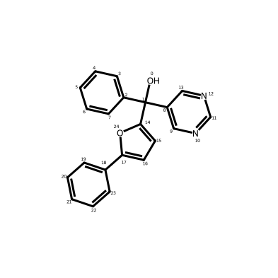 OC(c1ccccc1)(c1cncnc1)c1ccc(-c2ccccc2)o1